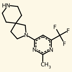 Cc1nc(N2CCC3(CCNCC3)C2)cc(C(F)(F)F)n1